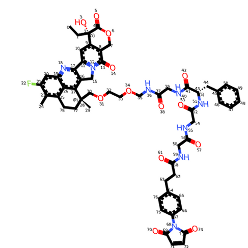 CC[C@@]1(O)C(=O)OCc2c1cc1n(c2=O)Cc2c-1nc1cc(F)c(C)c3c1c2[C@](C)(COCCOCNC(=O)CNC(=O)[C@H](Cc1ccccc1)NC(=O)CNC(=O)CNC(=O)CCc1ccc(N2C(=O)C=CC2=O)cc1)CC3